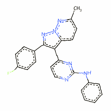 Cc1ccc2c(-c3ccnc(Nc4ccccc4)n3)c(-c3ccc(F)cc3)nn2n1